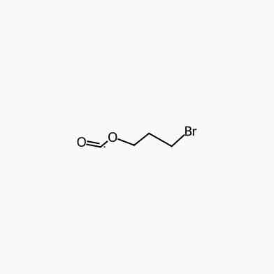 O=[C]OCCCBr